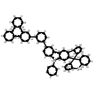 c1ccc(-n2c3ccc(-c4cccc(-c5ccc6c7ccccc7c7ccccc7c6c5)c4)cc3c3cc4c(cc32)C2(c3ccccc3Sc3ccccc32)c2ccccc2-4)cc1